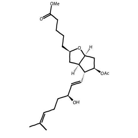 COC(=O)CCCC[C@@H]1C[C@@H]2[C@@H](C=C[C@@H](O)CCC=C(C)C)[C@H](OC(C)=O)C[C@@H]2O1